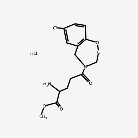 COC(=O)C(N)CCC(=O)N1CCOc2ccc(Cl)cc2C1.Cl